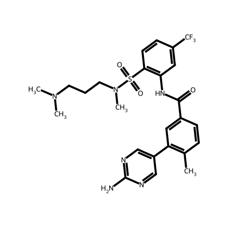 Cc1ccc(C(=O)Nc2cc(C(F)(F)F)ccc2S(=O)(=O)N(C)CCCN(C)C)cc1-c1cnc(N)nc1